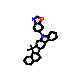 CC1(C)c2cc3c(cc2-c2ccc4ccccc4c21)c1ccccc1n3-c1ccc2ncoc2c1